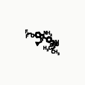 CC(C)CS(=O)(=O)Nc1ccc(-c2c(N)c3ccc(OCC(F)F)cc3n2CC2CC2)cc1